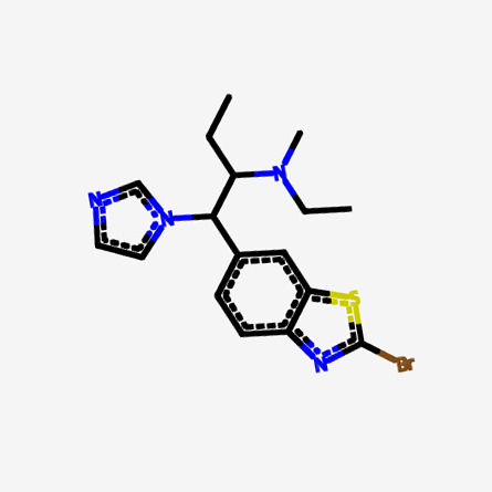 CCC(C(c1ccc2nc(Br)sc2c1)n1ccnc1)N(C)CC